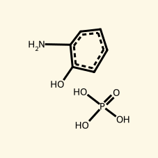 Nc1ccccc1O.O=P(O)(O)O